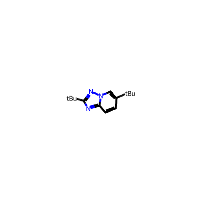 CC(C)(C)c1ccc2nc(C(C)(C)C)nn2c1